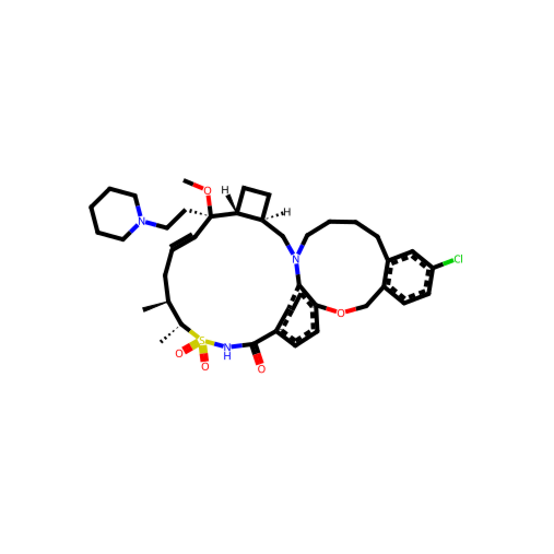 CO[C@]1(CCN2CCCCC2)/C=C/C[C@H](C)[C@@H](C)S(=O)(=O)NC(=O)c2ccc3c(c2)N(CCCCc2cc(Cl)ccc2CO3)C[C@@H]2CC[C@H]21